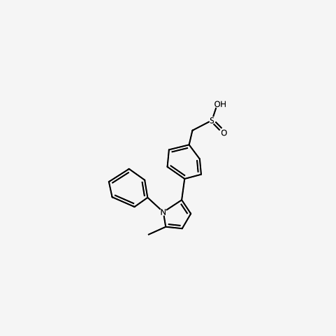 Cc1ccc(-c2ccc(CS(=O)O)cc2)n1-c1ccccc1